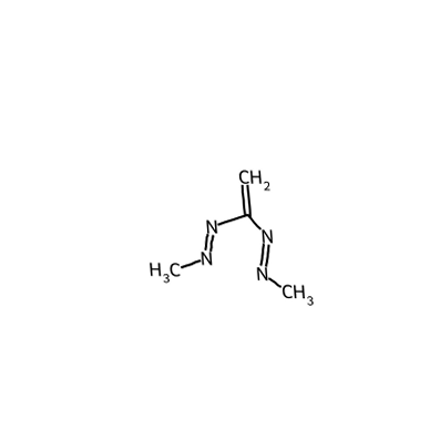 C=C(N=NC)N=NC